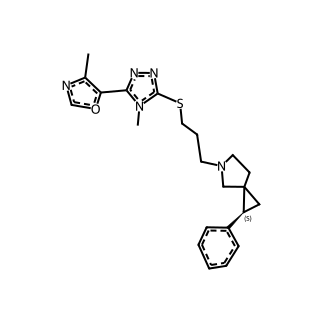 Cc1ncoc1-c1nnc(SCCCN2CCC3(C[C@H]3c3ccccc3)C2)n1C